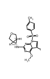 COc1nc(N[C@@H]2[C@@H]3COC[C@@H]32)nc2c1c(I)cn2S(=O)(=O)c1ccc(C)cc1